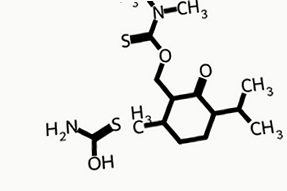 CC(C)C1CCC(C)C(COC(=S)N(C)C)C1=O.NC(O)=S